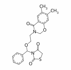 Cc1cc2c(cc1C)C(=O)N(CCOC(c1ccccc1)N1C(=O)CSC1=O)CO2